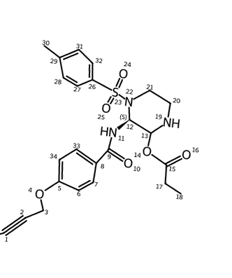 CC#CCOc1ccc(C(=O)N[C@@H]2C(OC(=O)CC)NCCN2S(=O)(=O)c2ccc(C)cc2)cc1